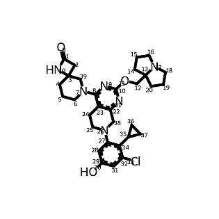 O=C1CC2(CCCN(c3nc(OCC45CCCN4CCC5)nc4c3CCN(c3cc(O)cc(Cl)c3C3CC3)C4)C2)N1